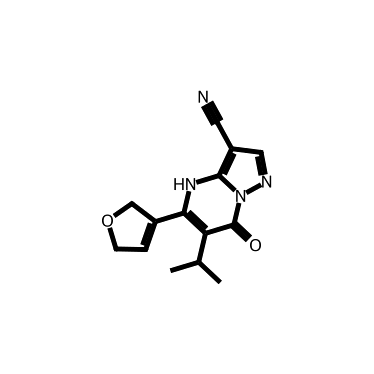 CC(C)c1c(C2=CCOC2)[nH]c2c(C#N)cnn2c1=O